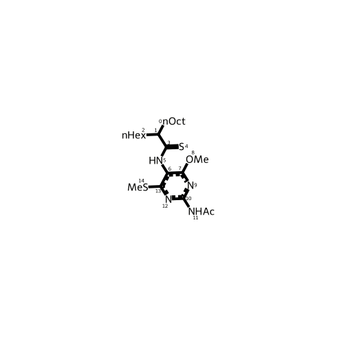 CCCCCCCCC(CCCCCC)C(=S)Nc1c(OC)nc(NC(C)=O)nc1SC